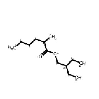 CCCCC(C)C(=O)OCC(CO)CO